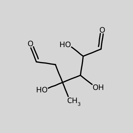 CC(O)(CC=O)C(O)C(O)C=O